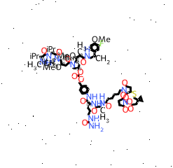 C=C(CNC(=O)[C@H](C)[C@@H](OC)[C@@H]1C[C@H](OC(=O)OCc2ccc(NC(=O)[C@H](CCCNC(N)=O)NC(=O)C(C)NC(=O)CCCCCN3C(=O)CC(SCC4(CC(=O)ON5C(=O)CCC5=O)CC4)C3=O)cc2)CN1C(=O)C[C@@H](OC)C([C@@H](C)CC)N(C)C(=O)[C@@H](NC(=O)[C@H](C(C)C)N(C)C)C(C)C)c1ccc(OC)c(F)c1